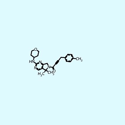 Cc1ccc(CC#CC(=O)N2Cc3nc(NC4CCOCC4)ncc3C2(C)C)cc1